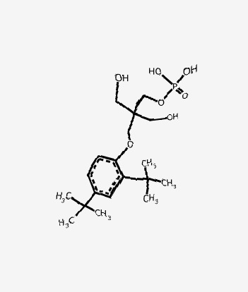 CC(C)(C)c1ccc(OCC(CO)(CO)COP(=O)(O)O)c(C(C)(C)C)c1